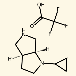 C1CC1N1CC[C@H]2CNC[C@H]21.O=C(O)C(F)(F)F